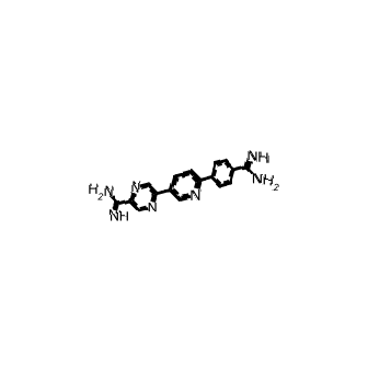 N=C(N)c1ccc(-c2ccc(-c3cnc(C(=N)N)cn3)cn2)cc1